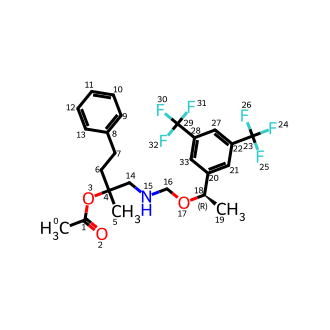 CC(=O)OC(C)(CCc1ccccc1)CNCO[C@H](C)c1cc(C(F)(F)F)cc(C(F)(F)F)c1